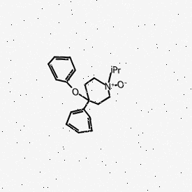 CC(C)[N+]1([O-])CCC(Oc2ccccc2)(c2ccccc2)CC1